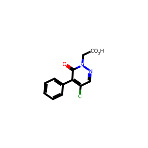 O=C(O)Cn1ncc(Cl)c(-c2ccccc2)c1=O